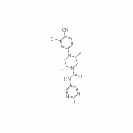 Cc1ncc(NC(=O)N2C[C@H](C)N(c3ccc(C#N)c(Cl)c3)C[C@H]2C)cn1